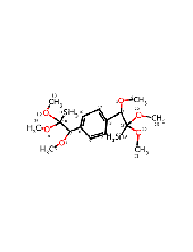 COC(c1ccc(C(OC)C([SiH3])(OC)OC)cc1)C([SiH3])(OC)OC